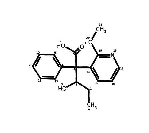 CCC(O)C(C(=O)O)(c1ccccc1)c1cccnc1OC